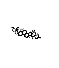 CCOC(=O)O[C@H]1CC[C@]2(C)C3CC[C@@]4(C)C(C[C@@H]5O[C@]6(CCC(C)CO6)[C@@H](C)C54)C3CC[C@@H]2C1